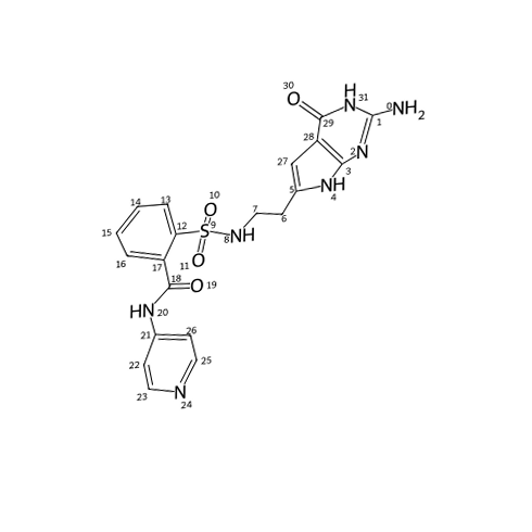 Nc1nc2[nH]c(CCNS(=O)(=O)c3ccccc3C(=O)Nc3ccncc3)cc2c(=O)[nH]1